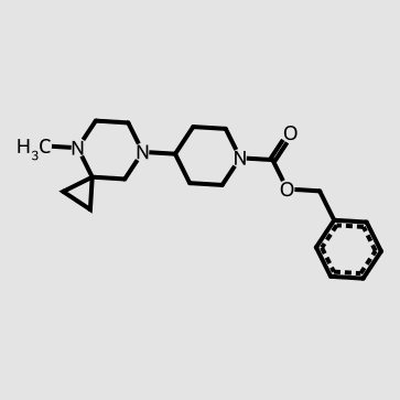 CN1CCN(C2CCN(C(=O)OCc3ccccc3)CC2)CC12CC2